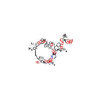 CO[C@H]1C[C@@H](CC(C)[C@@H]2CC(=O)[C@H](C)/C=C(\C)[C@@H](O)[C@@H](OC)C(=O)[C@H](C)C[C@H](C)/C=C/C=C/C=C(\C)[C@@H](O)C[C@@H]3CC[C@@H](C)[C@@](O)(O3)C(=O)C(=O)N3CCCC[C@H]3C(=O)O2)CC[C@@H]1OC(=O)C(C)(CO)CO